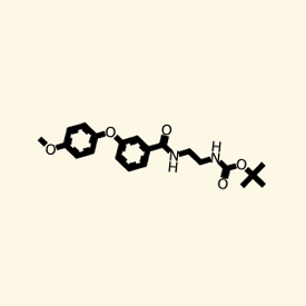 COc1ccc(Oc2cccc(C(=O)NCCNC(=O)OC(C)(C)C)c2)cc1